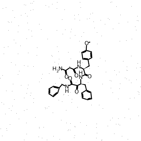 COc1ccc(C[C@H](NC(=O)[CH]C(N)=O)C(=O)N[C@@H](Cc2ccccc2)C(=O)C(=O)NCc2ccccc2)cc1